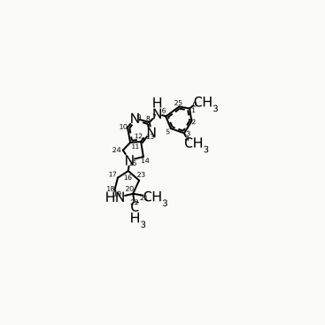 Cc1cc(C)cc(Nc2ncc3c(n2)CN(C2CCNC(C)(C)C2)C3)c1